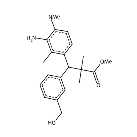 CNc1ccc(C(c2cccc(CO)c2)C(C)(C)C(=O)OC)c(C)c1N